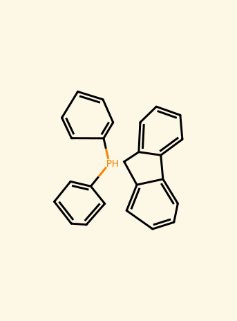 c1ccc(Pc2ccccc2)cc1.c1ccc2c(c1)Cc1ccccc1-2